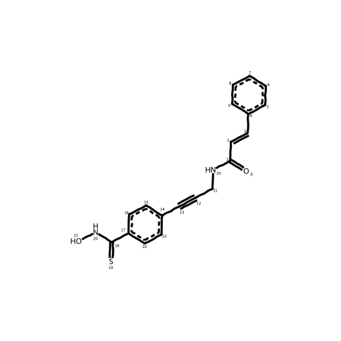 O=C(C=Cc1ccccc1)NCC#Cc1ccc(C(=S)NO)cc1